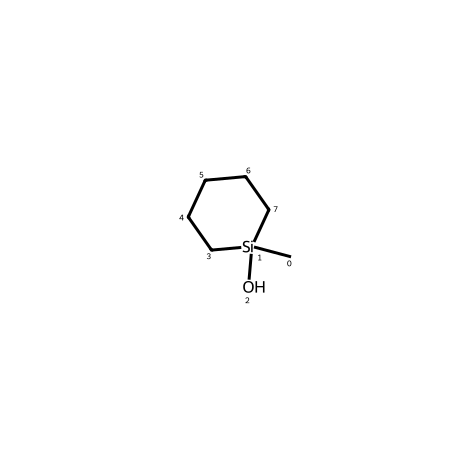 C[Si]1(O)CCCCC1